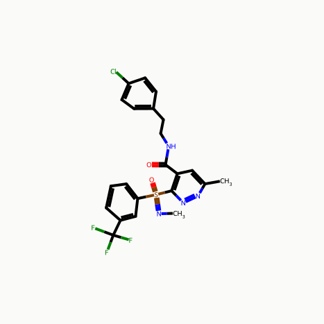 CN=S(=O)(c1cccc(C(F)(F)F)c1)c1nnc(C)cc1C(=O)NCCc1ccc(Cl)cc1